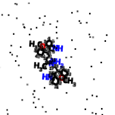 COc1cccc2[nH]cc(C(CC[C@H](C)N(N)CCC(c3ccccc3)c3c[nH]c4cccc(OC)c34)c3ccccc3)c12